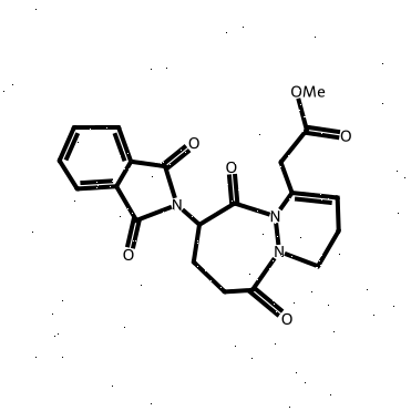 COC(=O)CC1=CCCN2C(=O)CCC(N3C(=O)c4ccccc4C3=O)C(=O)N12